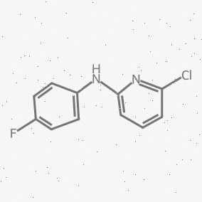 Fc1ccc(Nc2cccc(Cl)n2)cc1